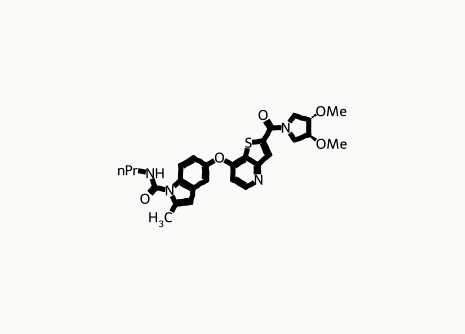 CCCNC(=O)n1c(C)cc2cc(Oc3ccnc4cc(C(=O)N5C[C@H](OC)[C@@H](OC)C5)sc34)ccc21